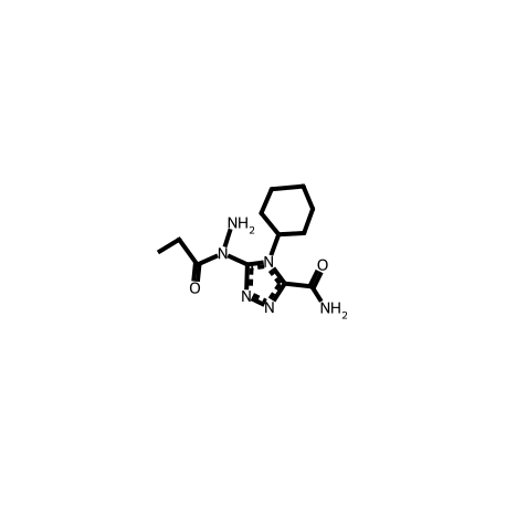 CCC(=O)N(N)c1nnc(C(N)=O)n1C1CCCCC1